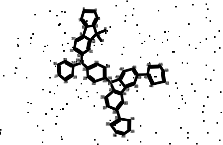 CC1(C)c2ccccc2-c2ccc(N(c3ccccc3)c3ccc(-n4c5ccc(-c6ccccc6)cc5c5cc(-c6ccccc6)ccc54)cc3)cc21